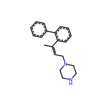 C/C(=C/CN1CCNCC1)c1ccccc1-c1ccccc1